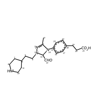 CC1=NN(CCC2CCNCC2)C(C=O)N1c1ccc(CCC(=O)O)cc1